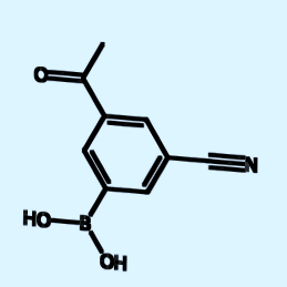 CC(=O)c1cc(C#N)cc(B(O)O)c1